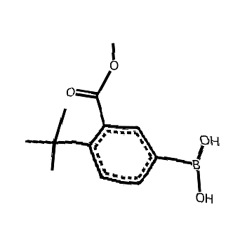 COC(=O)c1cc(B(O)O)ccc1C(C)(C)C